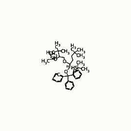 C[SiH](C)OC(COC(CCC(C)(C)C)[C@H](O[SiH](C)C)OC(c1ccccc1)(c1ccccc1)c1ccccc1)C(C)(C)C